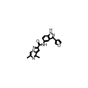 Cc1cn2nc(C(=O)Nc3ccc4[nH]nc(-c5ccoc5)c4c3)cc2c(C)n1